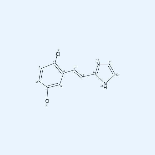 Clc1ccc(Cl)c(C=Cc2ncc[nH]2)c1